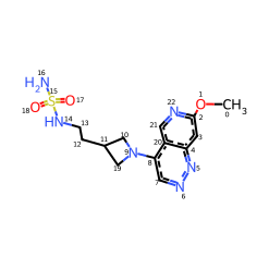 COc1cc2nncc(N3CC(CCNS(N)(=O)=O)C3)c2cn1